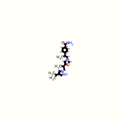 CC(C)c1c[nH][n+](CC(C)c2c[n+](CC(C)c3ccc(C(N)=O)cc3)co2)c1